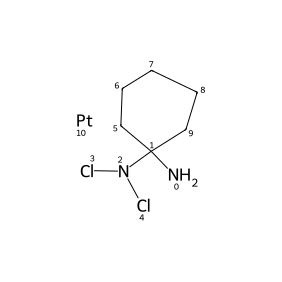 NC1(N(Cl)Cl)CCCCC1.[Pt]